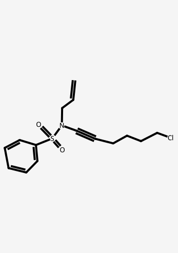 C=CCN(C#CCCCCCl)S(=O)(=O)c1ccccc1